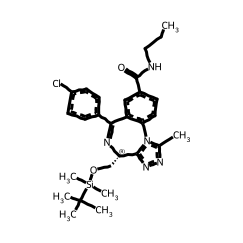 CCCNC(=O)c1ccc2c(c1)C(c1ccc(Cl)cc1)=N[C@@H](CO[Si](C)(C)C(C)(C)C)c1nnc(C)n1-2